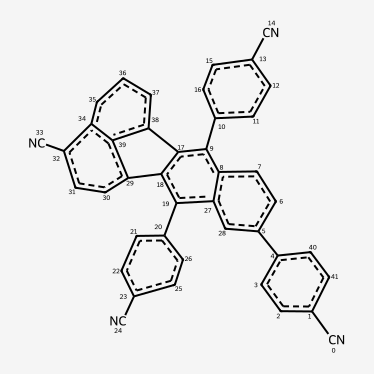 N#Cc1ccc(-c2ccc3c(-c4ccc(C#N)cc4)c4c(c(-c5ccc(C#N)cc5)c3c2)-c2ccc(C#N)c3cccc-4c23)cc1